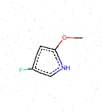 COc1cc(F)c[nH]1